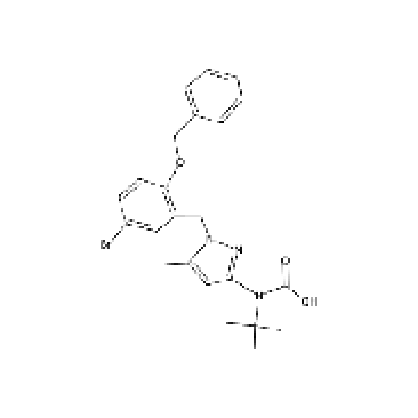 Cc1cc(N(C(=O)O)C(C)(C)C)nn1Cc1cc(Br)ccc1OCc1ccccc1